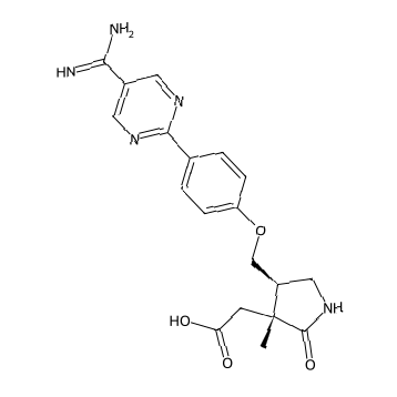 C[C@]1(CC(=O)O)C(=O)NC[C@@H]1COc1ccc(-c2ncc(C(=N)N)cn2)cc1